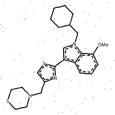 COc1cccc2c(-c3nc(CN4CCSCC4)cs3)cn(CC3CCCCC3)c12